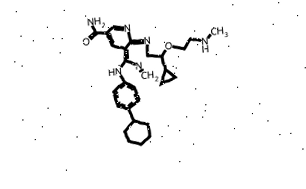 C=N/C(Nc1ccc(C2CCCCC2)cc1)=C1/C=C(C(N)=O)C=N/C1=N/CC(OCCNC)C1CC1